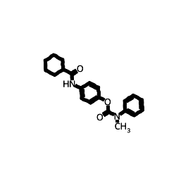 CN(C(=O)Oc1ccc(NC(=O)C2CCCCC2)cc1)c1ccccc1